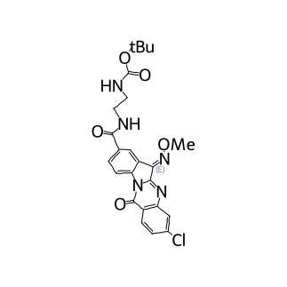 CO/N=C1\c2cc(C(=O)NCCNC(=O)OC(C)(C)C)ccc2-n2c1nc1cc(Cl)ccc1c2=O